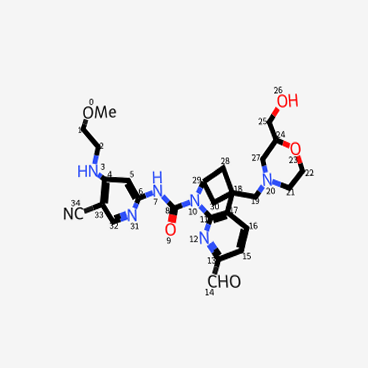 COCCNc1cc(NC(=O)N2c3nc(C=O)ccc3C3(CN4CCOC(CO)C4)CC2C3)ncc1C#N